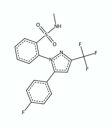 CNS(=O)(=O)c1ccccc1-n1nc(C(F)(F)F)cc1-c1ccc(F)cc1